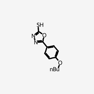 CCCCOc1ccc(-c2nnc(S)o2)cc1